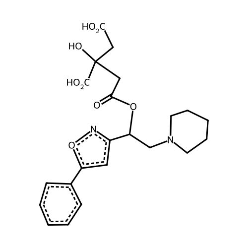 O=C(O)CC(O)(CC(=O)OC(CN1CCCCC1)c1cc(-c2ccccc2)on1)C(=O)O